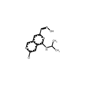 CC(C)Nc1nc(/C=N\O)cc2cnc(Cl)cc12